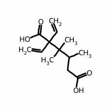 C=CC(C=C)(C(=O)O)C(C)(C)C(C)CC(=O)O